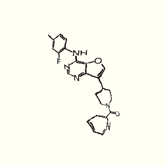 Cc1ccc(Nc2ncnc3c(C4CCN(C(=O)c5ccccn5)CC4)coc23)c(F)c1